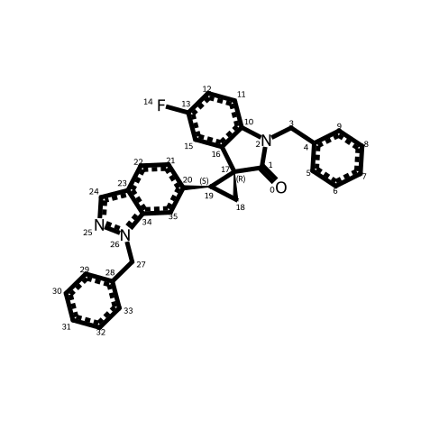 O=C1N(Cc2ccccc2)c2ccc(F)cc2[C@]12C[C@H]2c1ccc2cnn(Cc3ccccc3)c2c1